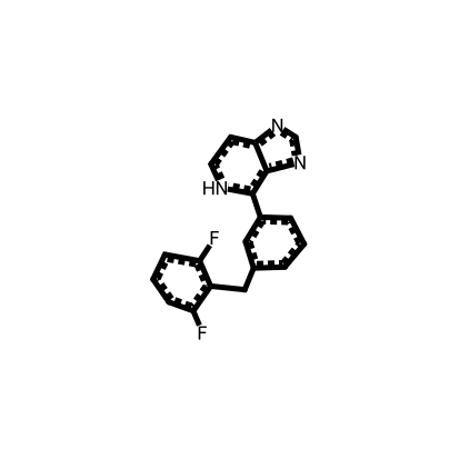 Fc1cccc(F)c1Cc1cccc(-c2[nH]ccc3ncnc2-3)c1